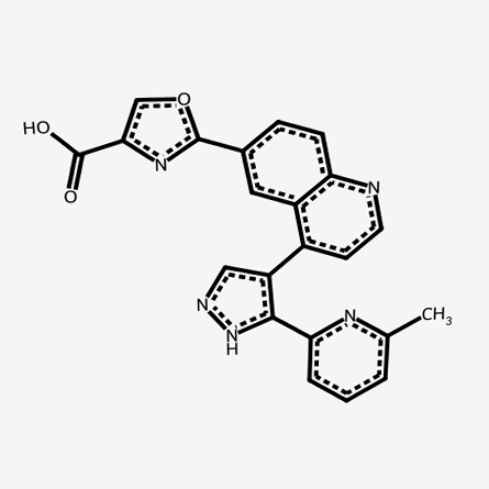 Cc1cccc(-c2[nH]ncc2-c2ccnc3ccc(-c4nc(C(=O)O)co4)cc23)n1